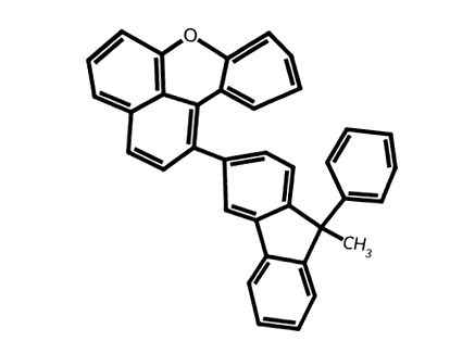 CC1(c2ccccc2)c2ccccc2-c2cc(-c3ccc4cccc5c4c3-c3ccccc3O5)ccc21